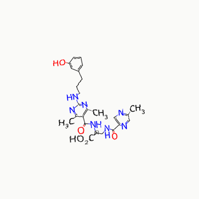 Cc1cnc(C(=O)NC[C@H](NC(=O)c2c(C)nc(NCCCc3cccc(O)c3)nc2C)C(=O)O)cn1